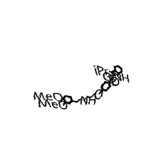 COc1ccc(CCNCCCOc2ccc(S(=O)(=O)c3[nH]c4ccccc4c3C(C)C)cc2)cc1OC